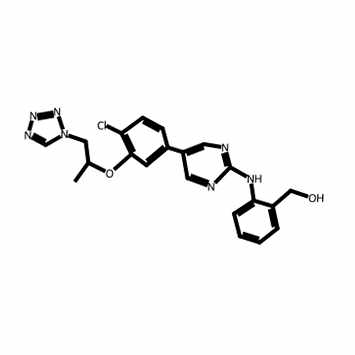 CC(Cn1cnnn1)Oc1cc(-c2cnc(Nc3ccccc3CO)nc2)ccc1Cl